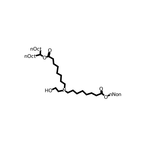 CCCCCCCCCOC(=O)CCCCCCCN(CCO)CCCCCCCC(=O)OC(CCCCCCCC)CCCCCCCC